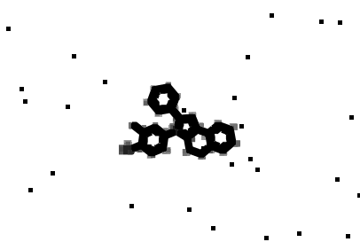 Cc1cc(-n2c(-c3ccccc3)cc3c2CCc2ccccc2-3)ccc1O